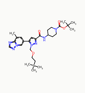 Cc1cc(-c2cc(C(=O)NC3CCN(C(=O)OC(C)(C)C)CC3)nn2COCC[Si](C)(C)C)cn2ncnc12